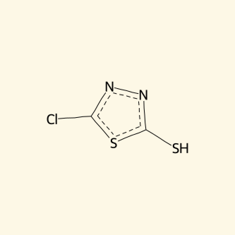 Sc1nnc(Cl)s1